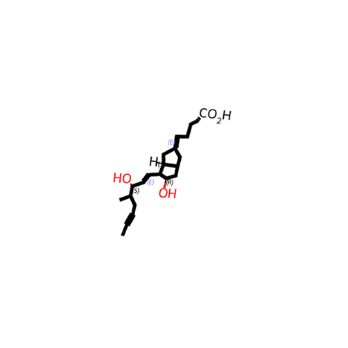 CC#CCC(C)[C@H](O)/C=C/C1[C@H]2C/C(=C/CCCC(=O)O)CC2C[C@H]1O